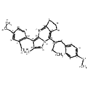 CCN(Cc1ccc(SC)cc1)c1c2c(nc3c(-c4ccc(OC)cc4Cl)c(C)nn13)CCC2